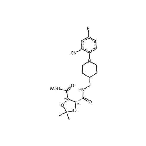 [C-]#[N+]c1cc(F)ccc1N1CCC(CNC(=O)[C@@H]2OC(C)(C)O[C@H]2C(=O)OC)CC1